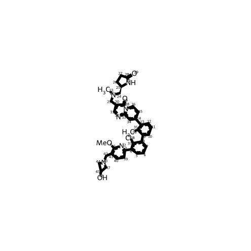 COc1nc(-c2cccc(-c3cccc(-c4ccn5c(=O)c(CN(C)C[C@H]6CCC(=O)N6)cnc5c4)c3C)c2Cl)ccc1CN1CC(O)C1